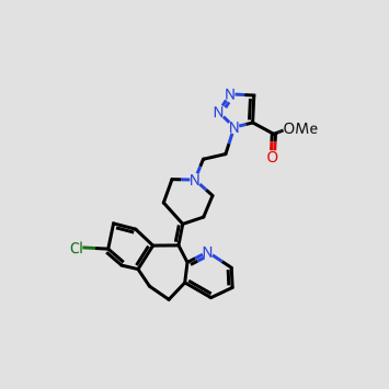 COC(=O)c1cnnn1CCN1CCC(=C2c3ccc(Cl)cc3CCc3cccnc32)CC1